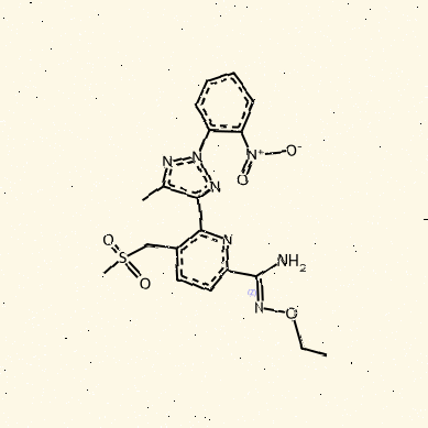 CCO/N=C(\N)c1ccc(CS(C)(=O)=O)c(-c2nn(-c3ccccc3[N+](=O)[O-])nc2C)n1